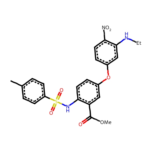 CCNc1cc(Oc2ccc(NS(=O)(=O)c3ccc(C)cc3)c(C(=O)OC)c2)ccc1[N+](=O)[O-]